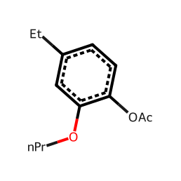 CCCOc1cc(CC)ccc1OC(C)=O